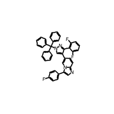 Fc1ccc(-c2cnc3ccc(-c4cn(C(c5ccccc5)(c5ccccc5)c5ccccc5)nc4-c4c(F)cccc4F)cn23)cc1